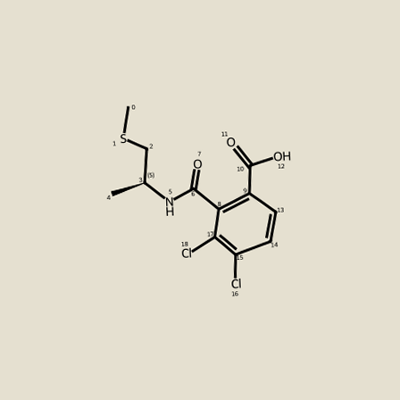 CSC[C@H](C)NC(=O)c1c(C(=O)O)ccc(Cl)c1Cl